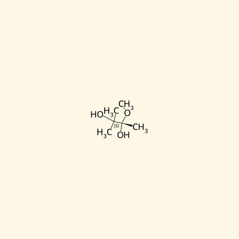 CO[C@](C)(O)C(C)(C)O